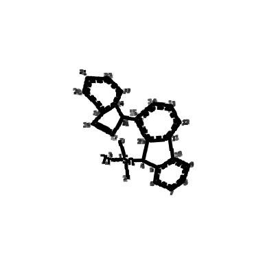 [CH3][Sn]([CH3])([Zr])[CH]1c2ccccc2-c2cccc(C3C=Cc4ccccc43)c21